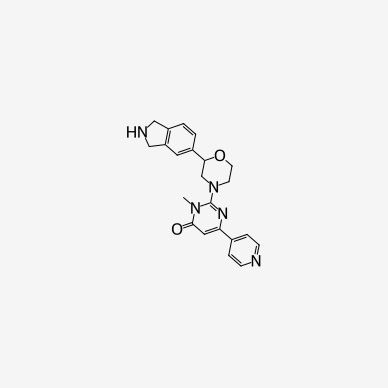 Cn1c(N2CCOC(c3ccc4c(c3)CNC4)C2)nc(-c2ccncc2)cc1=O